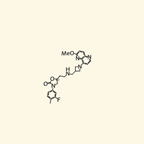 COc1ccc2nccc(N3CC(CNCC[C@H]4CN(c5ccc(C)c(F)c5)C(=O)O4)C3)c2n1